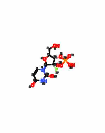 O=c1ccn([C@H]2O[C@@H](CO)[C@H](OP(=O)(O)O)[C@@H]2F)c(=O)[nH]1